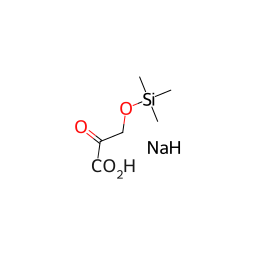 C[Si](C)(C)OCC(=O)C(=O)O.[NaH]